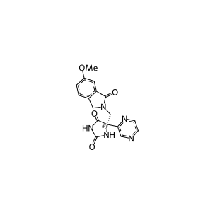 COc1ccc2c(c1)C(=O)N(C[C@]1(c3cnccn3)NC(=O)NC1=O)C2